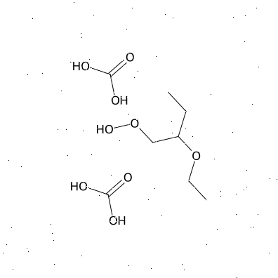 CCOC(CC)COO.O=C(O)O.O=C(O)O